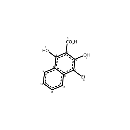 CCc1c(O)c(C(=O)O)c(O)c2ccccc12